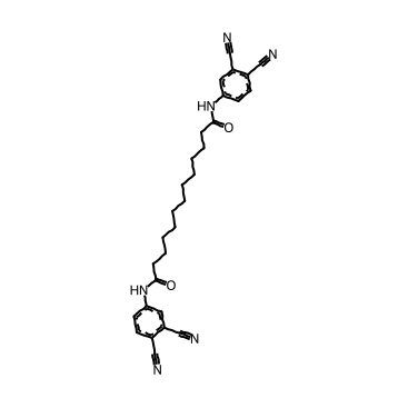 N#Cc1ccc(NC(=O)CCCCCCCCCCCC(=O)Nc2ccc(C#N)c(C#N)c2)cc1C#N